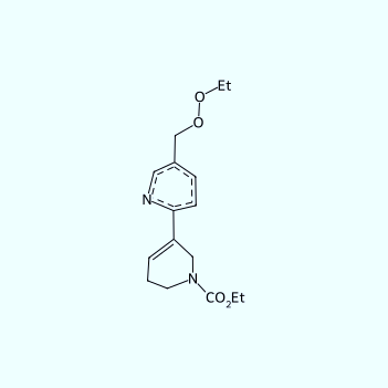 CCOOCc1ccc(C2=CCCN(C(=O)OCC)C2)nc1